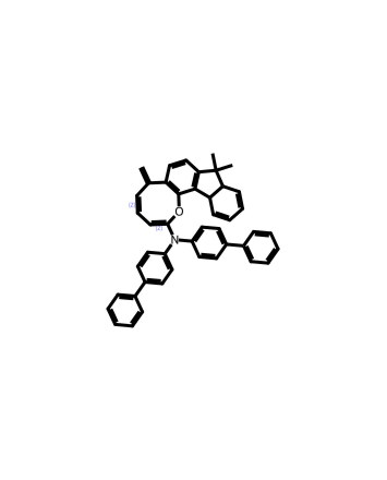 C=C1/C=C\C=C(\N(c2ccc(-c3ccccc3)cc2)c2ccc(-c3ccccc3)cc2)Oc2c1ccc1c2C2C=CC=CC2C1(C)C